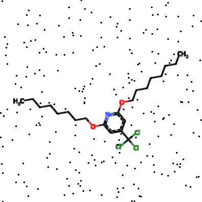 CCCCCCCCOc1cc(C(Cl)(Cl)Cl)cc(OCCCCCCCC)n1